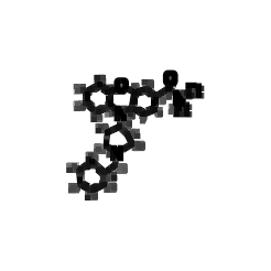 CCN(CC)C(=O)c1ccc2c(c1)Oc1ccccc1N2C1CCN(Cc2ccccc2)CC1